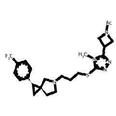 CC(=O)N1CC(c2nnc(SCCCN3CC[C@]4(C[C@@H]4c4ccc(C(F)(F)F)cc4)C3)n2C)C1